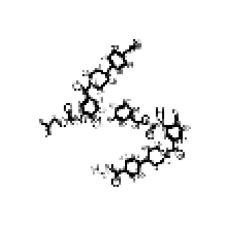 CC(C)COC(=O)Nc1cc(C(=O)N2CCC(c3ccc(C#N)cc3)CC2)ccc1Cl.Cc1ccc(C(=O)N2CCC(c3ccc(C(N)=O)cc3)CC2)cc1NC(=O)OCc1ccccc1